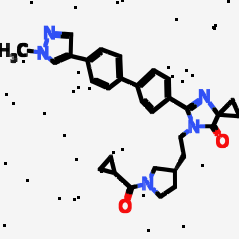 Cn1cc(-c2ccc(-c3ccc(C4=NC5(CC5)C(=O)N4CC[C@H]4CCN(C(=O)C5CC5)C4)cc3)cc2)cn1